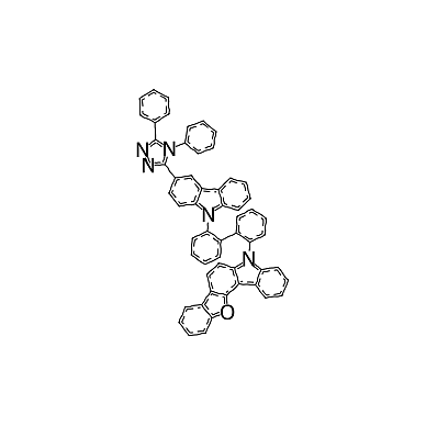 c1ccc(-c2nnc(-c3ccc4c(c3)c3ccccc3n4-c3ccccc3-c3ccccc3-n3c4ccccc4c4c5oc6ccccc6c5ccc43)n2-c2ccccc2)cc1